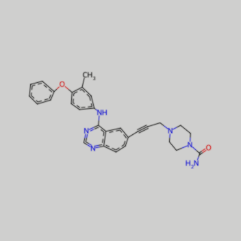 Cc1cc(Nc2ncnc3ccc(C#CCN4CCN(C(N)=O)CC4)cc23)ccc1Oc1ccccc1